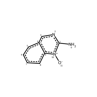 Nc1ncc2ccccc2[n+]1[O-]